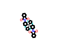 O=C1c2ccccc2C(=O)N1c1ccc(F)[c]([Ti]([c]2c(F)ccc(N3C(=O)c4ccccc4C3=O)c2F)([CH]2C=CC=C2)[CH]2C=CC=C2)c1F